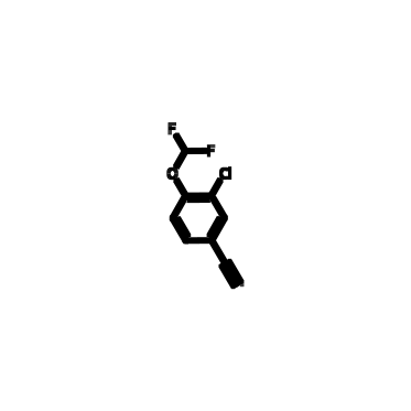 [C]#Cc1ccc(OC(F)F)c(Cl)c1